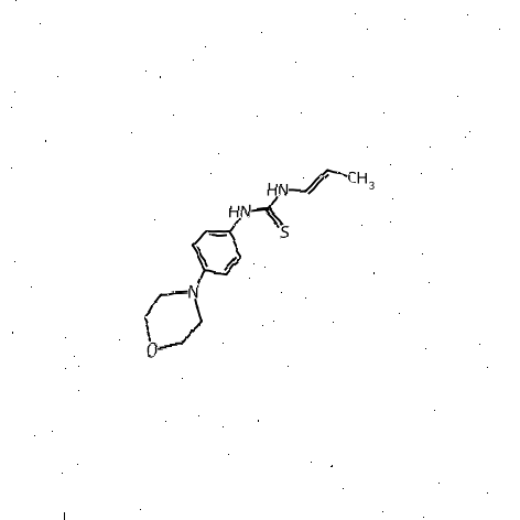 CC=CNC(=S)Nc1ccc(N2CCOCC2)cc1